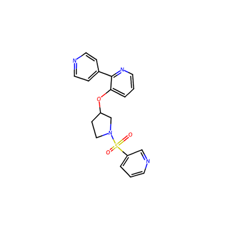 O=S(=O)(c1cccnc1)N1CCC(Oc2cccnc2-c2ccncc2)C1